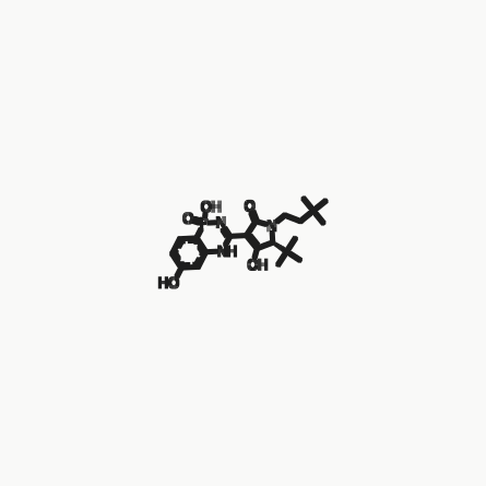 CC(C)(C)CCN1C(=O)C(C2=NP(=O)(O)c3ccc(O)cc3N2)=C(O)[C@@H]1C(C)(C)C